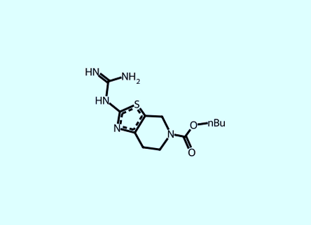 CCCCOC(=O)N1CCc2nc(NC(=N)N)sc2C1